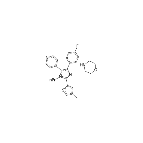 C1COCCN1.CCCn1c(-c2cc(C)cs2)nc(-c2ccc(F)cc2)c1-c1ccncc1